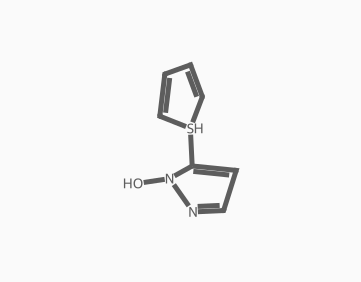 On1nccc1[SH]1C=CC=C1